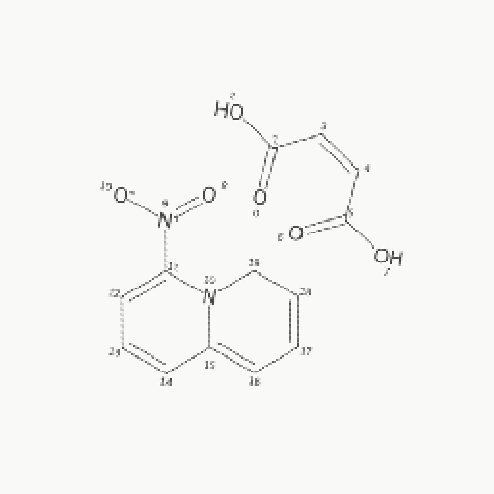 O=C(O)/C=C\C(=O)O.O=[N+]([O-])C1=CC=CC2=CC=CCN21